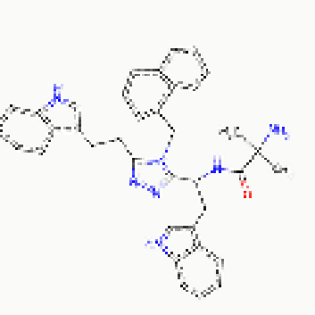 CC(C)(N)C(=O)NC(Cc1c[nH]c2ccccc12)c1nnc(CCc2c[nH]c3ccccc23)n1Cc1cccc2ccccc12